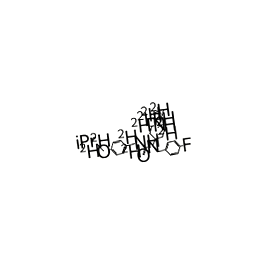 [2H]C([2H])(NC(=O)N(Cc1ccc(F)cc1)C1CC([2H])([2H])N(C([2H])([2H])[2H])C([2H])([2H])C1)c1ccc(OC([2H])([2H])C(C)C)cc1